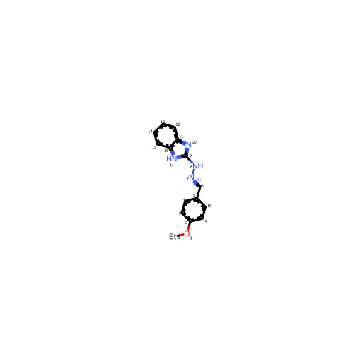 CCOc1ccc(/C=N/Nc2nc3ccccc3[nH]2)cc1